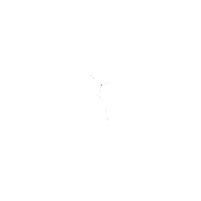 NC(=O)NSP=O